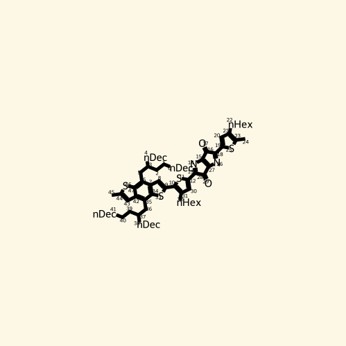 CCCCCCCCCCCCC(CCCCCCCCCC)Cc1c2cc(-c3sc(-c4nc5c(=O)c(-c6cc(CCCCCC)c(C)s6)nc=5c4=O)cc3CCCCCC)sc2c(CC(CCCCCCCCCC)CCCCCCCCCCCC)c2cc(C)sc12